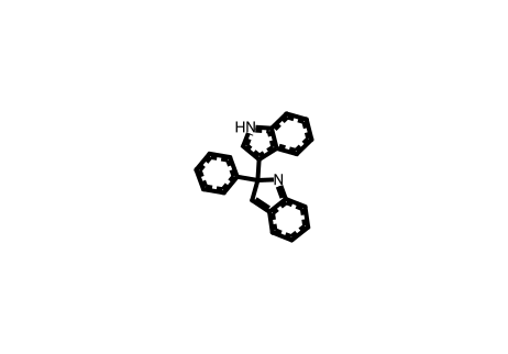 C1=c2ccccc2=NC1(c1ccccc1)c1c[nH]c2ccccc12